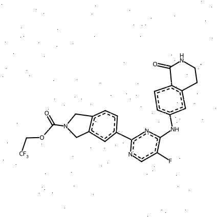 O=C1NCCc2cc(Nc3nc(-c4ccc5c(c4)CN(C(=O)OCC(F)(F)F)C5)ncc3F)ccc21